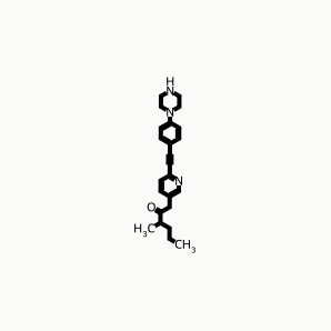 CCCC(C)C(=O)Cc1ccc(C#Cc2ccc(N3CCNCC3)cc2)nc1